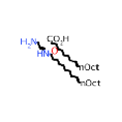 CCCCCCCCC=CCCCCCCCC(=O)NC=CCN.CCCCCCCCC=CCCCCCCCC(=O)O